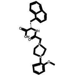 COc1ccccc1N1CCN(CC(=O)N[C@@H](Cc2cccc3ccccc23)C(=O)O)CC1